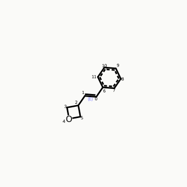 C(=C\C1COC1)/c1ccccc1